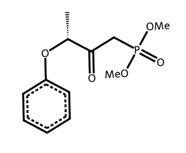 COP(=O)(CC(=O)[C@@H](C)Oc1ccccc1)OC